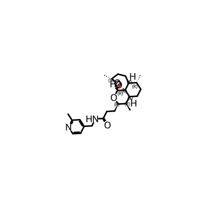 Cc1cc(CNC(=O)CC[C@H]2O[C@@H]3O[C@]4(C)CC[C@H]5[C@H](C)CC[C@@H]([C@H]2C)[C@@]35OO4)ccn1